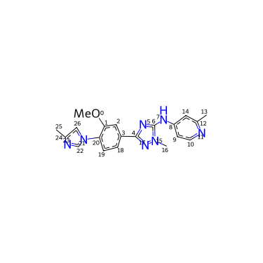 COc1cc(-c2nc(Nc3ccnc(C)c3)n(C)n2)ccc1-n1cnc(C)c1